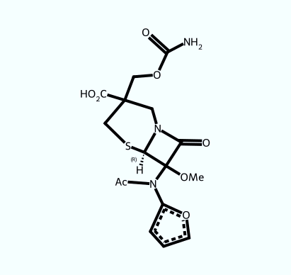 COC1(N(C(C)=O)c2ccco2)C(=O)N2CC(COC(N)=O)(C(=O)O)CS[C@@H]21